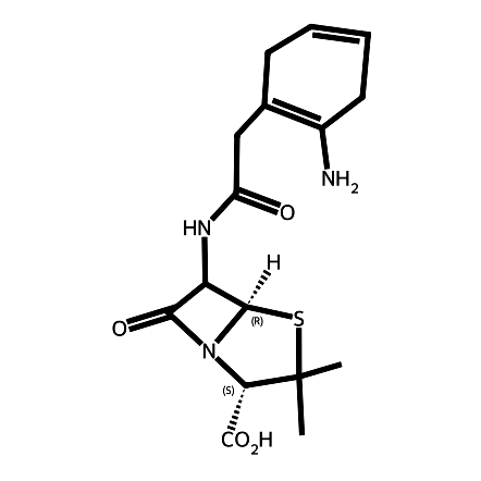 CC1(C)S[C@@H]2C(NC(=O)CC3=C(N)CC=CC3)C(=O)N2[C@H]1C(=O)O